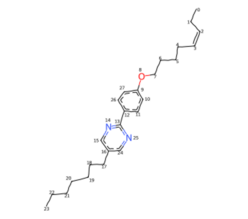 CC/C=C\CCCCOc1ccc(-c2ncc(CCCCCCC)cn2)cc1